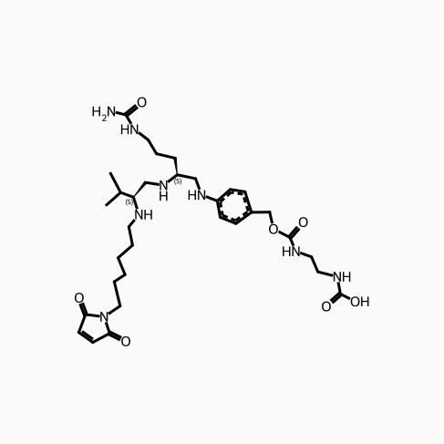 CC(C)[C@@H](CN[C@@H](CCCNC(N)=O)CNc1ccc(COC(=O)NCCNC(=O)O)cc1)NCCCCCCN1C(=O)C=CC1=O